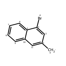 [CH2]c1cc(Br)c2ccccc2c1